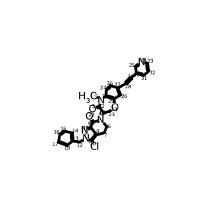 CN1C(=O)[C@H](N2CCc3c(nn(Cc4ccccc4)c3Cl)C2=O)COc2cc(C#Cc3cccnc3)ccc21